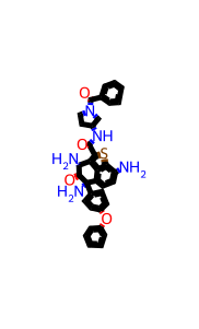 Nc1ccc2c3c(c(C(=O)NC4CCN(C(=O)c5ccccc5)C4)sc13)C(N)C(=O)C2(N)c1ccc(Oc2ccccc2)cc1